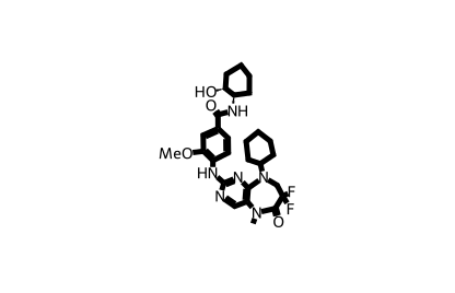 COc1cc(C(=O)N[C@H]2CCCC[C@H]2O)ccc1Nc1ncc2c(n1)N(C1CCCCC1)CC(F)(F)C(=O)N2C